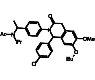 CC[C@@H](C)Oc1cc2c(cc1OC)CC(=O)N(c1ccc(C(C)N(C(C)=O)C(C)C)cc1)C2c1ccc(Cl)cc1